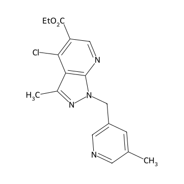 CCOC(=O)c1cnc2c(c(C)nn2Cc2cncc(C)c2)c1Cl